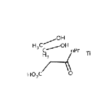 CCCC(=O)CC(=O)O.CO.CO.[Ti]